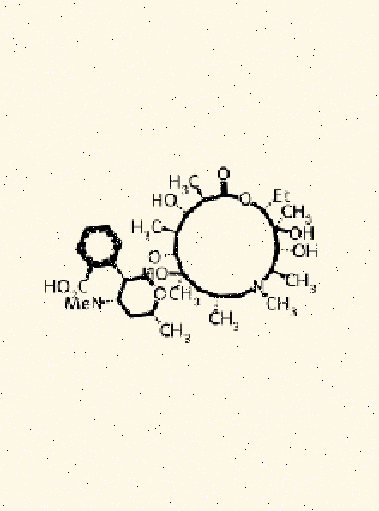 CC[C@H]1OC(=O)[C@H](C)[C@@H](O)[C@H](C)[C@@H](O[C@@H]2O[C@H](C)C[C@H](NC)[C@H]2c2ccccc2C(=O)O)[C@](C)(O)C[C@@H](C)CN(C)[C@H](C)[C@@H](O)[C@]1(C)O